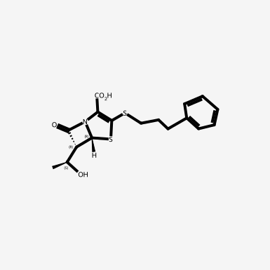 C[C@H](O)[C@@H]1C(=O)N2C(C(=O)O)=C(SCCCc3ccccc3)S[C@H]12